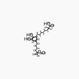 CC(C)(CCCCCCc1cc(CCCCC2(OC=O)CC2)cc(O)c1O)C(=O)O